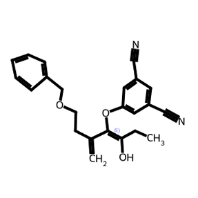 C=C(CCOCc1ccccc1)/C(Oc1cc(C#N)cc(C#N)c1)=C(\O)CC